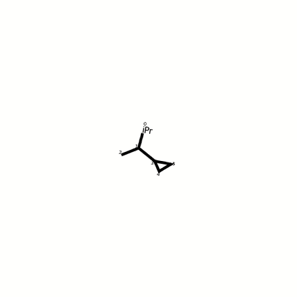 [CH2]C(C)C(C)C1CC1